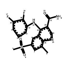 Cc1cc(S(C)(=O)=O)cc2c(Nc3cccc(F)c3F)c(C(N)=O)cnc12